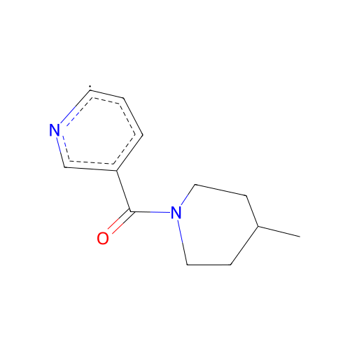 CC1CCN(C(=O)c2cc[c]nc2)CC1